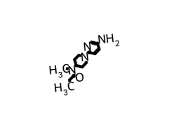 CCC(=O)N(C)C1CCN(c2ccc(N)cn2)CC1